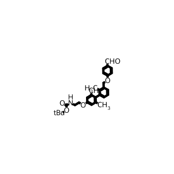 Cc1cc(OCCNC(=O)OC(C)(C)C)cc(C)c1-c1cccc(COc2ccc(C=O)cc2)c1C